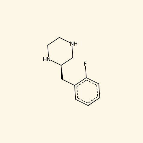 Fc1ccccc1C[C@@H]1CNCCN1